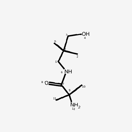 CC(C)(CO)CNC(=O)C(C)(C)N